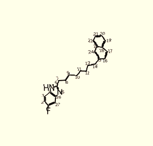 Fc1ccc2[nH]c(CCCCCCCCc3ccc4ccccc4c3)nc2c1